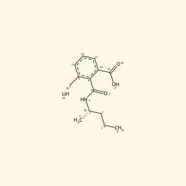 CSC[C@H](C)NC(=O)c1c(I)cccc1C(=O)O.[LiH]